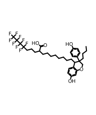 CCCCC1(c2ccc(O)cc2)COc2cc(O)ccc2C1CCCCCCCCC(CCCC(F)(F)C(F)(F)C(F)(F)C(F)(F)F)C(=O)O